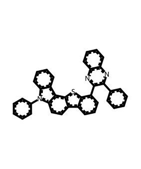 c1ccc(-c2nc3ccccc3nc2-c2cccc3c2sc2c3ccc3c2c2ccccc2n3-c2ccccc2)cc1